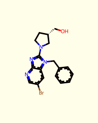 OC[C@H]1CCN(c2nc3ncc(Br)cc3n2Cc2ccccc2)C1